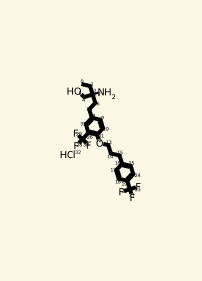 CC[C@@](N)(CO)CCc1ccc(OCCCc2ccc(C(F)(F)F)cc2)c(C(F)(F)F)c1.Cl